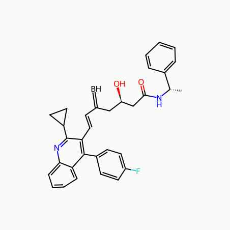 B=C(/C=C/c1c(C2CC2)nc2ccccc2c1-c1ccc(F)cc1)C[C@@H](O)CC(=O)N[C@@H](C)c1ccccc1